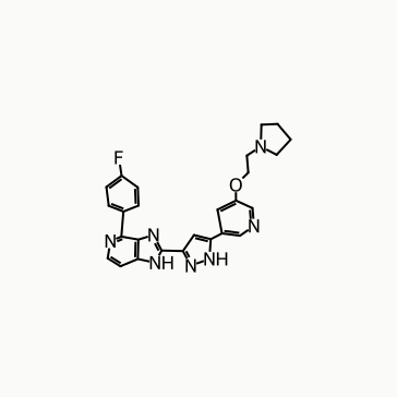 Fc1ccc(-c2nccc3[nH]c(-c4cc(-c5cncc(OCCN6CCCC6)c5)[nH]n4)nc23)cc1